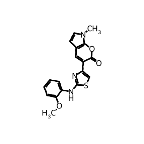 COc1ccccc1Nc1nc(-c2cc3ccn(C)c3oc2=O)cs1